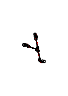 O=c1ccc2ccc(OCCCCCCCCCCCOCC(COCCCCCCCCCCCOc3ccc4ccc(=O)oc4c3)OCCCCCCCCCCCOc3ccc4ccc(=O)oc4c3)cc2o1